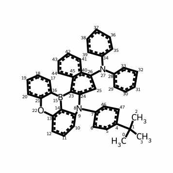 CC(C)(C)c1ccc(N2c3cccc4c3B(c3ccccc3O4)c3c2cc(N(c2ccccc2)c2ccccc2)c2ccccc32)cc1